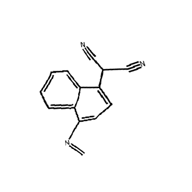 C=Nc1ccc(C(C#N)C#N)c2ccccc12